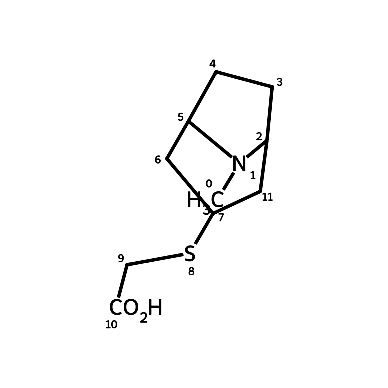 CN1C2CCC1CC(SCC(=O)O)C2